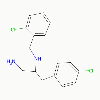 NCC(Cc1ccc(Cl)cc1)NCc1ccccc1Cl